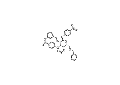 CC(=O)O[C@@H]1[C@H](Oc2ccc([N+](=O)[O-])cc2)[C@@H](OCc2ccccc2)[C@@H](Oc2ccc([N+](=O)[O-])cc2)O[C@@H]1COCc1ccccc1